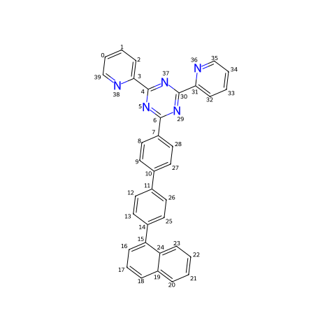 c1ccc(-c2nc(-c3ccc(-c4ccc(-c5cccc6ccccc56)cc4)cc3)nc(-c3ccccn3)n2)nc1